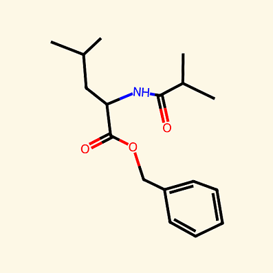 CC(C)CC(NC(=O)C(C)C)C(=O)OCc1ccccc1